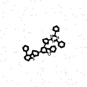 c1ccc(-c2nc(-c3ccccc3)nc(-c3cccc(-c4cc(-c5ccc6c(c5)sc5cccc(-c7ccccc7)c56)cc5oc6ccccc6c45)c3)n2)cc1